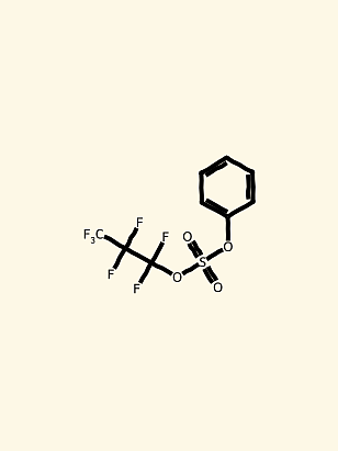 O=S(=O)(Oc1ccccc1)OC(F)(F)C(F)(F)C(F)(F)F